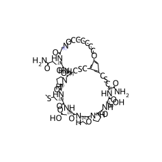 CSCC[C@@H]1NC(=O)[C@@H]2CCCN2C(=O)[C@@H]2CSCc3cc(cc(c3)OCCCCCCO/N=C/C(=O)N[C@@H](CCC(N)=O)C(=O)N2)CSC[C@@H](C(N)=O)NC(=O)[C@H]([C@@H](C)O)NC(=O)[C@@H]2CCCN2C(=O)[C@H](C(C)C)NC(=O)[C@H](CC(=O)O)NC1=O